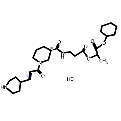 CC(OC(=O)CCNC(=O)[C@@H]1CCCN(C(=O)/C=C/C2CCNCC2)C1)C(=O)OC1CCCCC1.Cl